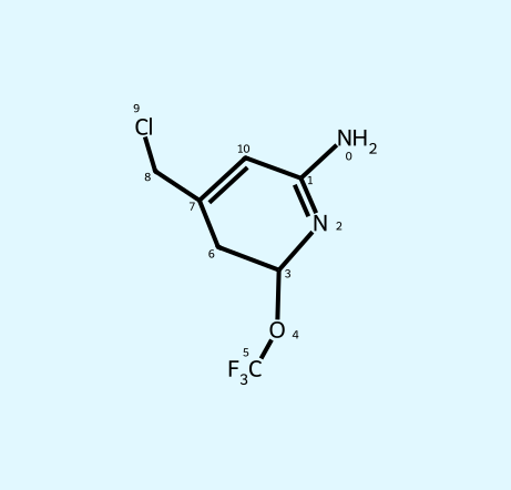 NC1=NC(OC(F)(F)F)CC(CCl)=C1